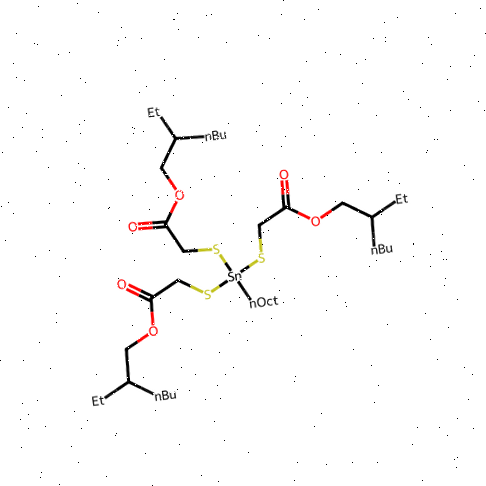 CCCCCCC[CH2][Sn]([S]CC(=O)OCC(CC)CCCC)([S]CC(=O)OCC(CC)CCCC)[S]CC(=O)OCC(CC)CCCC